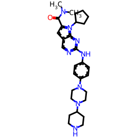 CN(C)C(=O)c1cc2cnc(Nc3ccc(N4CCN(C5CCNCC5)CC4)cc3)nc2n1C1CCCC1